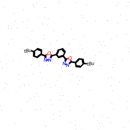 CC(C)(C)c1ccc(-c2nnc(-c3cccc(-c4nnc(-c5ccc(C(C)(C)C)cc5)o4)c3)o2)cc1